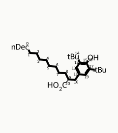 CCCCCCCCCCCCCCCCCC[C@H](Cc1cc(C(C)(C)C)c(O)c(C(C)(C)C)c1)C(=O)O